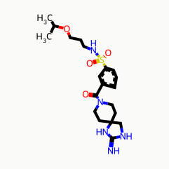 CC(C)OCCCNS(=O)(=O)c1cccc(C(=O)N2CCC3(CC2)CNC(=N)N3)c1